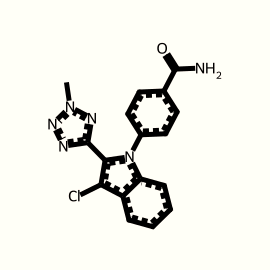 Cn1nnc(-c2c(Cl)c3ccccc3n2-c2ccc(C(N)=O)cc2)n1